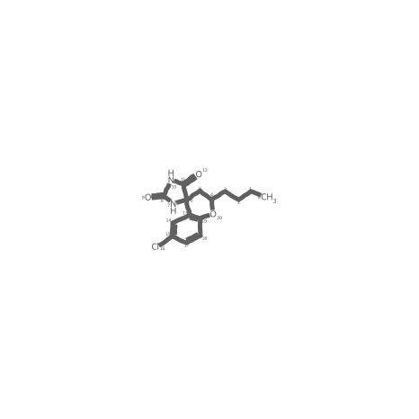 CCCCC1CC2(NC(=O)NC2=O)c2cc(Cl)ccc2O1